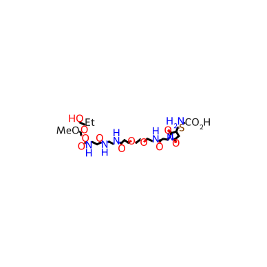 CCC(CO)OC(COC(=O)NCCC(=O)NCCNC(=O)CCOCCOCCNC(=O)CCN1C(=O)CC(CSC(N)C(=O)O)C1=O)OC